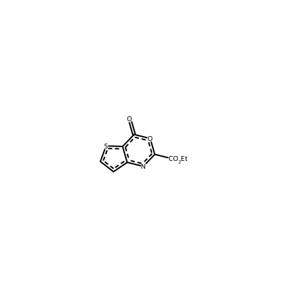 CCOC(=O)c1nc2ccsc2c(=O)o1